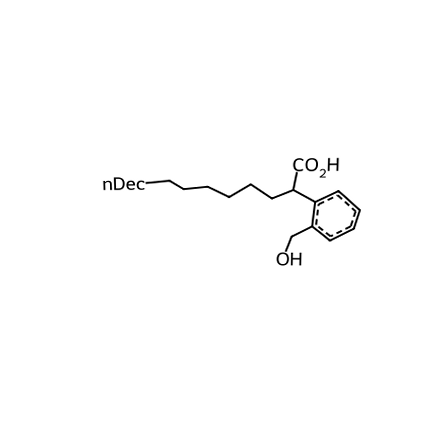 CCCCCCCCCCCCCCCCC(C(=O)O)c1ccccc1CO